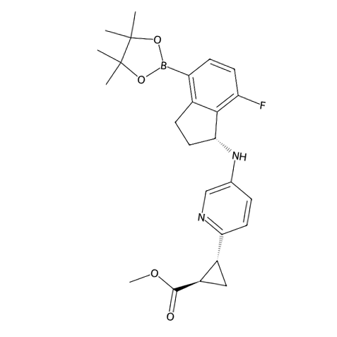 COC(=O)[C@@H]1C[C@H]1c1ccc(N[C@@H]2CCc3c(B4OC(C)(C)C(C)(C)O4)ccc(F)c32)cn1